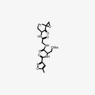 COCC(NC(=O)c1cc(C)on1)C(=O)NCC(=O)NC(CC(C)C)C(=O)C1(C)CO1